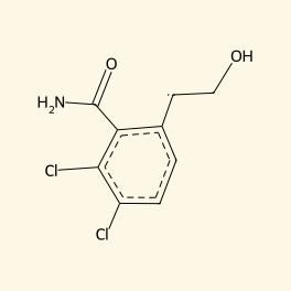 NC(=O)c1c([CH]CO)ccc(Cl)c1Cl